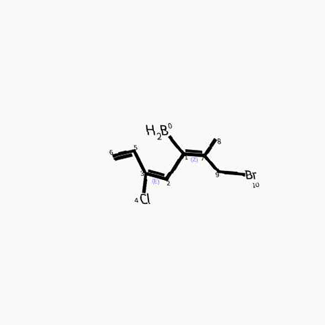 BC(/C=C(/Cl)C=C)=C(\C)CBr